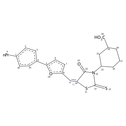 CCCc1ccc(-c2ccc(/C=C3/SC(=S)N(C4CCCC(C(=O)O)C4)C3=O)o2)cc1